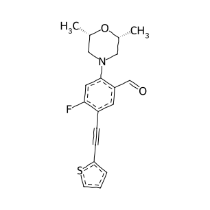 C[C@@H]1CN(c2cc(F)c(C#Cc3cccs3)cc2C=O)C[C@H](C)O1